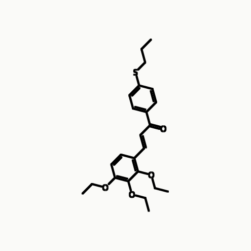 CCCSc1ccc(C(=O)/C=C/c2ccc(OCC)c(OCC)c2OCC)cc1